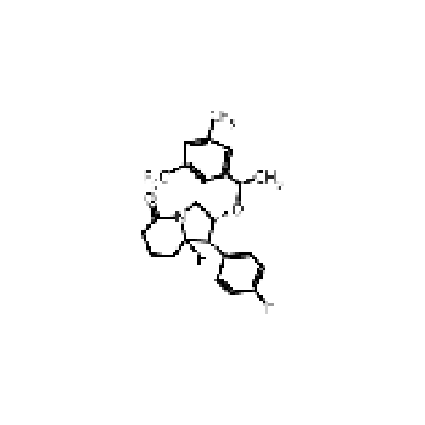 C[C@@H](O[C@H]1CN2C(=O)CCC[C@H]2[C@@H]1c1ccc(F)cc1)c1cc(C(F)(F)F)cc(C(F)(F)F)c1